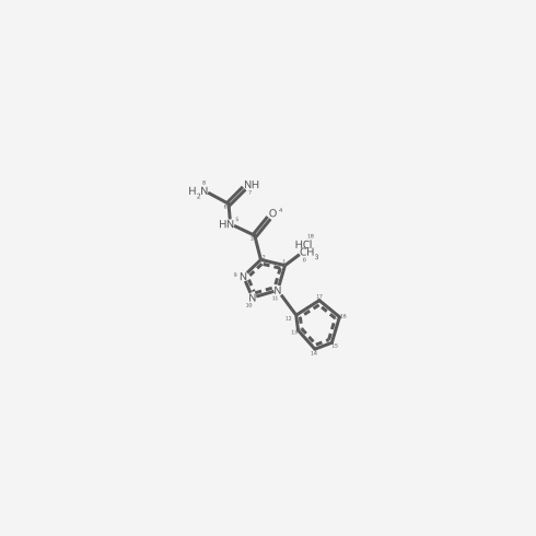 Cc1c(C(=O)NC(=N)N)nnn1-c1ccccc1.Cl